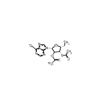 CC[C@H]1O[C@@H](n2cnc3c(Cl)ncnc32)C(OC(C)=O)[C@H]1OC(C)=O